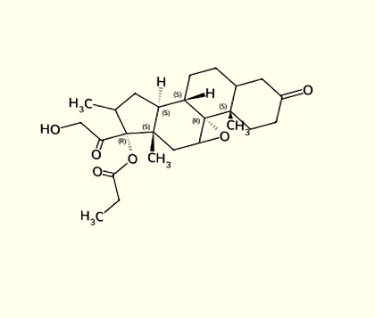 CCC(=O)O[C@]1(C(=O)CO)C(C)C[C@H]2[C@@H]3CCC4CC(=O)CC[C@]4(C)[C@]34OC4C[C@@]21C